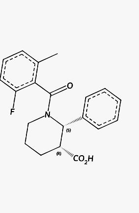 Cc1cccc(F)c1C(=O)N1CCC[C@@H](C(=O)O)[C@H]1c1ccccc1